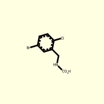 O=C(O)NCc1cc(Br)ccc1Cl